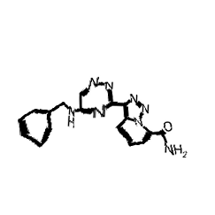 NC(=O)c1cccc2c(-c3nncc(NCc4ccccc4)n3)nnn12